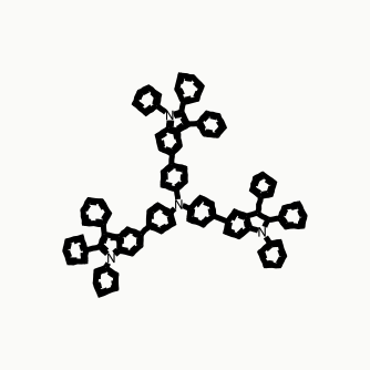 c1ccc(-c2c(-c3ccccc3)n(-c3ccccc3)c3ccc(-c4ccc(N(c5ccc(-c6ccc7c(c6)C(c6ccccc6)C(c6ccccc6)N7c6ccccc6)cc5)c5ccc(-c6ccc7c(c6)c(-c6ccccc6)c(-c6ccccc6)n7-c6ccccc6)cc5)cc4)cc23)cc1